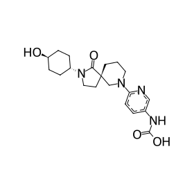 O=C(O)Nc1ccc(N2CCC[C@]3(CCN([C@H]4CC[C@H](O)CC4)C3=O)C2)nc1